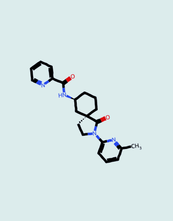 Cc1cccc(N2CC[C@]3(CCC[C@H](NC(=O)c4ccccn4)C3)C2=O)n1